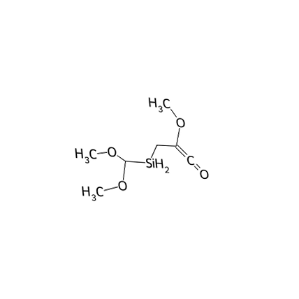 COC(=C=O)C[SiH2]C(OC)OC